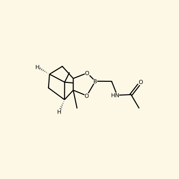 CC(=O)NCB1OC2C[C@@H]3C[C@H](C2(C)O1)C3(C)C